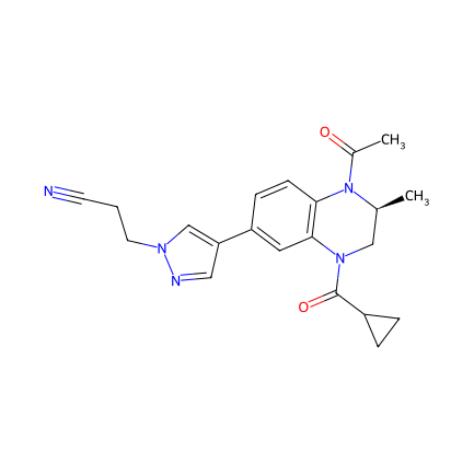 CC(=O)N1c2ccc(-c3cnn(CCC#N)c3)cc2N(C(=O)C2CC2)C[C@@H]1C